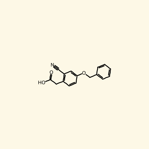 N#Cc1cc(OCc2ccccc2)ccc1CC(=O)O